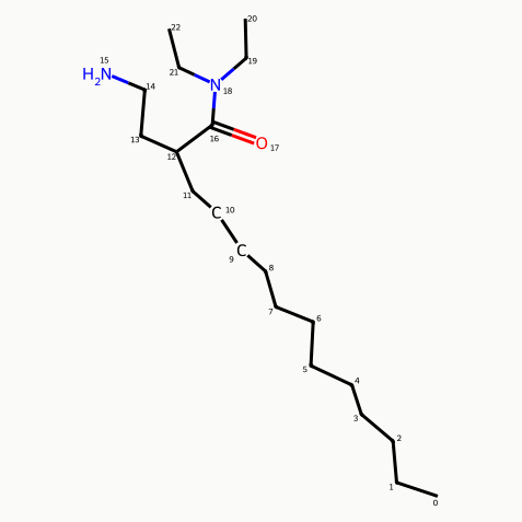 CCCCCCCCCCCCC(CCN)C(=O)N(CC)CC